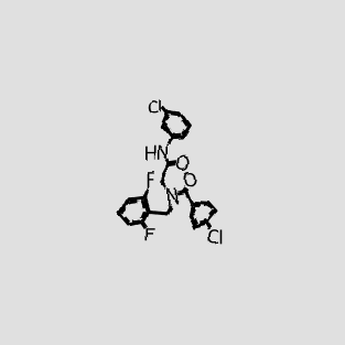 O=C(CN(Cc1c(F)cccc1F)C(=O)c1ccc(Cl)cc1)Nc1cccc(Cl)c1